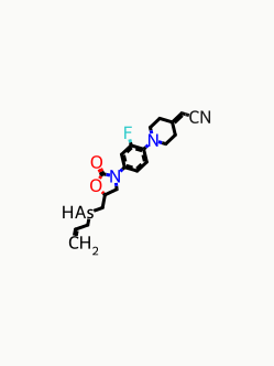 C=CC[AsH]CC1CN(c2ccc(N3CCC(=CC#N)CC3)c(F)c2)C(=O)O1